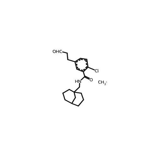 O=CCCc1ccc(Cl)c(C(=O)NCC23CCCC(CCC2)C3)c1.[CH2]